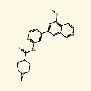 COc1cc(-c2ccnc(NC(=O)C3CCN(C)CC3)c2)cc2cnccc12